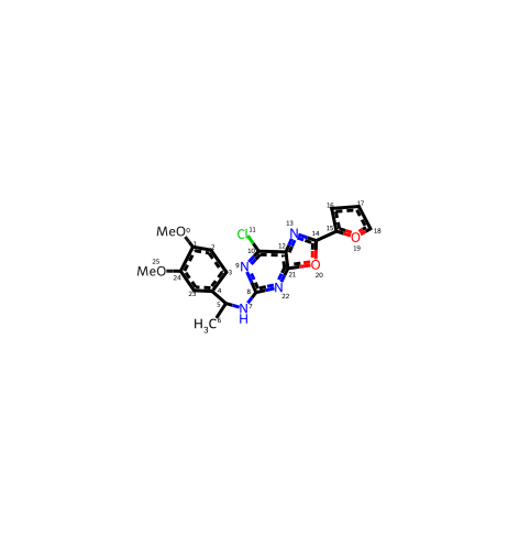 COc1ccc(C(C)Nc2nc(Cl)c3nc(-c4ccco4)oc3n2)cc1OC